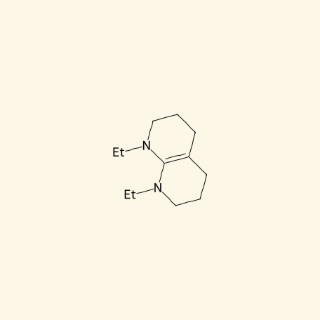 CCN1CCCC2=C1N(CC)CCC2